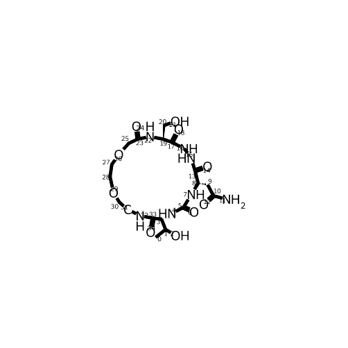 CC(O)C1NC(=O)N[C@@H](CC(N)=O)C(=O)NNC(=O)[C@H](CO)NC(=O)COCCOCCNC1=O